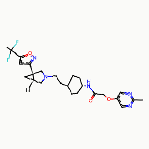 Cc1ncc(OCC(=O)N[C@H]2CC[C@H](CCN3C[C@@H]4C[C@]4(c4cc(C(C)(F)F)on4)C3)CC2)cn1